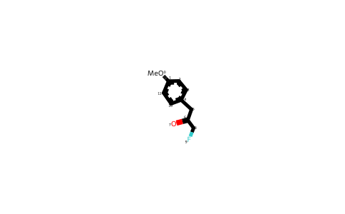 COc1ccc(CC(=O)CF)cc1